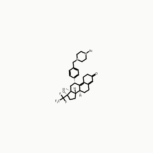 CC(=O)N1CCN(Cc2ccc([C@H]3C[C@@]4(C)[C@@H](CC[C@@]4(O)C(F)(F)C(F)(F)F)[C@@H]4CCC5=CC(=O)CCC5=C43)cc2)CC1